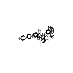 COc1cc(N2CCC(N3CCN(C)CC3)CC2)ccc1Nc1nc(Nc2ccc3nccnc3c2P(C)(C)=O)c2cc[nH]c2n1